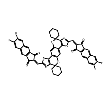 O=C1C(=Cc2nc3c(s2)-c2cc4c(cc2OC32CCCCC2)-c2sc(C=C3C(=O)c5cc6cc(F)c(F)cc6cc5C3=O)nc2C2(CCCCC2)O4)C(=O)c2cc3cc(F)c(F)cc3cc21